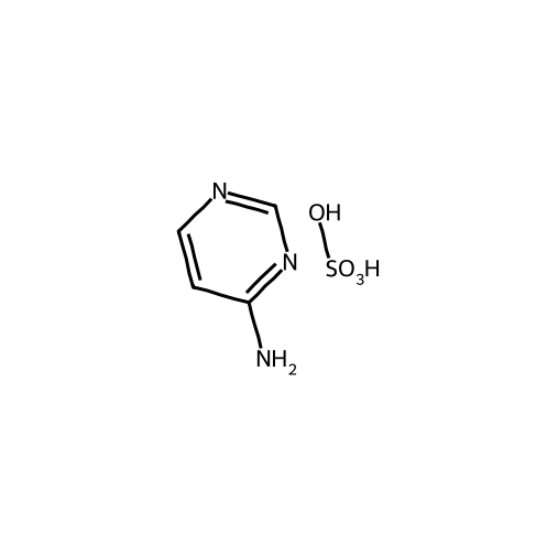 Nc1ccncn1.O=S(=O)(O)O